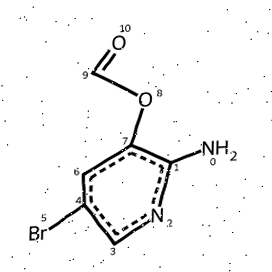 Nc1ncc(Br)cc1OC=O